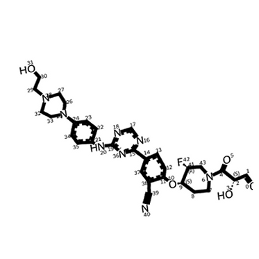 C=C[C@H](O)C(=O)N1CC[C@H](Oc2ccc(-c3ncnc(Nc4ccc(N5CCN(CCO)CC5)cc4)n3)cc2C#N)[C@H](F)C1